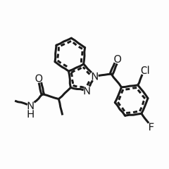 CNC(=O)C(C)c1nn(C(=O)c2ccc(F)cc2Cl)c2ccccc12